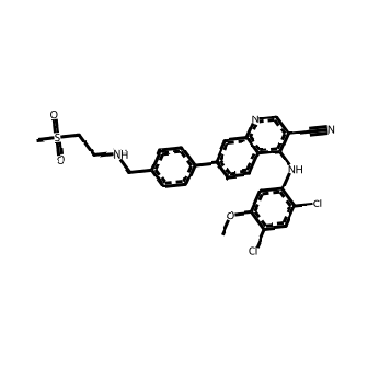 COc1cc(Nc2c(C#N)cnc3cc(-c4ccc(CNCCS(C)(=O)=O)cc4)ccc23)c(Cl)cc1Cl